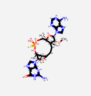 CO[C@H]1[C@H](n2cnc3c(N)ncnc32)O[C@]2(C)COP(O)(=S)O[C@H]3[C@H](n4cnc5c(=O)[nH]c(N)nc54)OC(CC[C@@H]12)[C@@H]3F